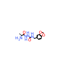 C[C@H](N)C(=O)NNC(=O)NCc1ccc2c(c1)OCO2